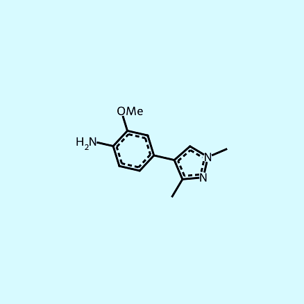 COc1cc(-c2cn(C)nc2C)ccc1N